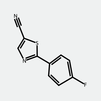 N#Cc1cnc(-c2ccc(F)cc2)s1